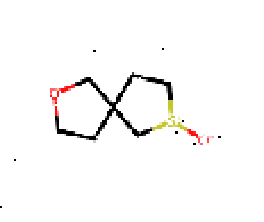 [O-][S+]1CCC2(CCOC2)C1